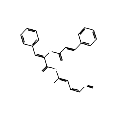 C=N/C=C\C=C(/C)NC(=O)/C(=C/c1ccccc1)NC(=O)/C=C/c1ccccc1